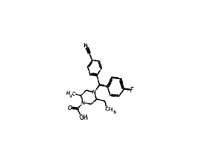 CCC1CN(C(=O)O)C(C)CN1C(c1ccc(F)cc1)c1ccc(C#N)cc1